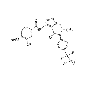 COc1ccc(C(=O)Nc2cnn3c2C(=O)N(c2ccc(C(F)(F)C4(F)CC4)cc2)[C@@H](C)C3)cc1C#N